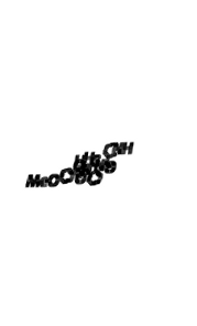 COc1ccc(S(=O)(=O)Nc2ccccc2N(C)C(=O)C2CCCNC2)cc1